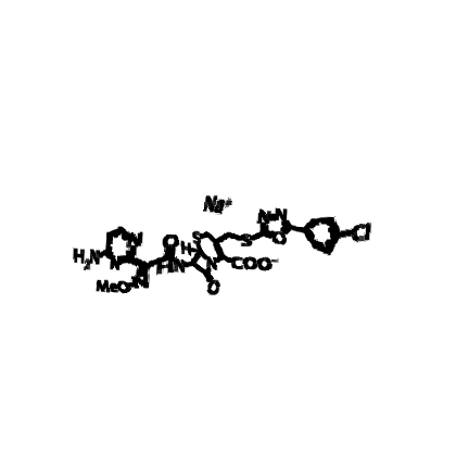 CON=C(C(=O)NC1C(=O)N2C(C(=O)[O-])=C(CSc3nnc(-c4ccc(Cl)cc4)o3)CS[C@@H]12)c1nccc(N)n1.[Na+]